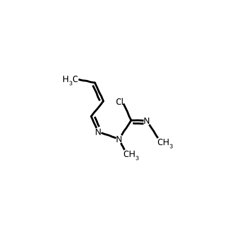 C/C=C\C=N/N(C)/C(Cl)=N\C